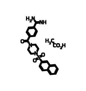 CC(=O)O.N=C(N)c1ccc(C(=O)N2CCN(S(=O)(=O)c3ccc4ccccc4c3)CC2)cc1